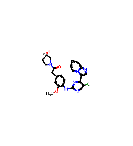 COc1cc(CC(=O)N2CC[C@@H](O)C2)ccc1Nc1ncc(Cl)c(-c2cnc3ccccn23)n1